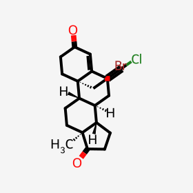 C[C@]12CC[C@H]3[C@@H](C[C@@H](Br)C4=CC(=O)CC[C@@]43CC#CCl)[C@@H]1CCC2=O